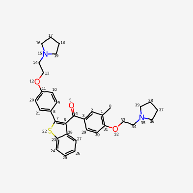 Cc1cc(C(=O)c2c(-c3ccc(OCCN4CCCC4)cc3)sc3ccccc23)ccc1OCCN1CCCC1